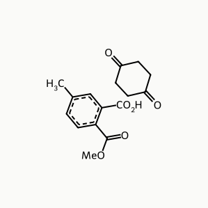 COC(=O)c1ccc(C)cc1C(=O)O.O=C1CCC(=O)CC1